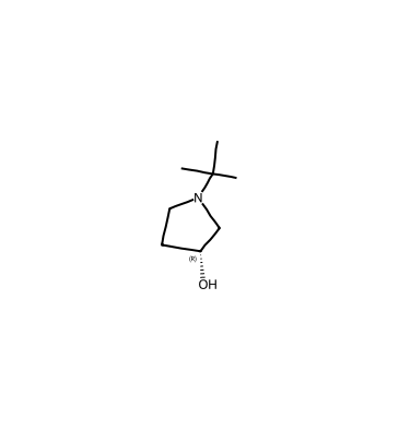 CC(C)(C)N1CC[C@@H](O)C1